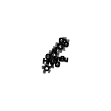 CCCCN1C(=O)C(CC2CCCC2)NC(=O)C12CCN(Cc1ccc3c(c1)OCCO3)CC2